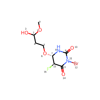 COC(O)CCO[C@@H]1NC(=O)N(Br)C(=O)[C@H]1F